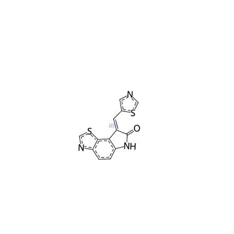 O=C1Nc2ccc3ncsc3c2/C1=C/c1cncs1